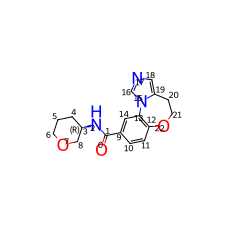 O=C(N[C@@H]1CCCOC1)c1ccc2c(c1)-n1cncc1CCO2